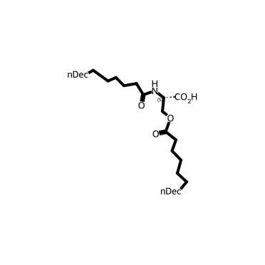 CCCCCCCCCCCCCCCC(=O)N[C@@H](COC(=O)CCCCCCCCCCCCCCC)C(=O)O